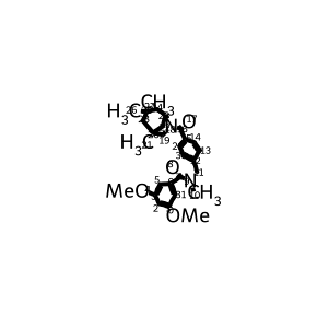 COc1cc(OC)cc(C(=O)N(C)Cc2ccc(C(=O)N3CC4(C)CC3CC(C)(C)C4)cc2)c1